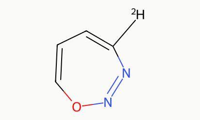 [2H]C1=CC=CON=N1